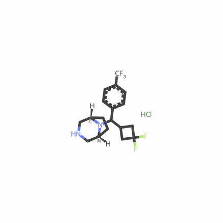 Cl.FC1(F)CC(C(c2ccc(C(F)(F)F)cc2)N2[C@@H]3CC[C@H]2CNC3)C1